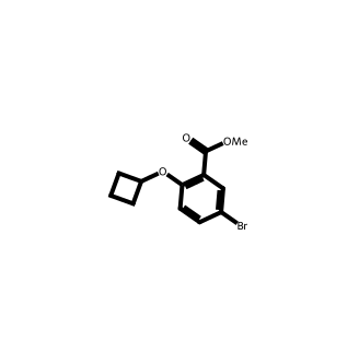 COC(=O)c1cc(Br)ccc1OC1CCC1